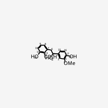 COc1cc(C(O)Cc2cccc(O)c2C(=O)O)ccc1O